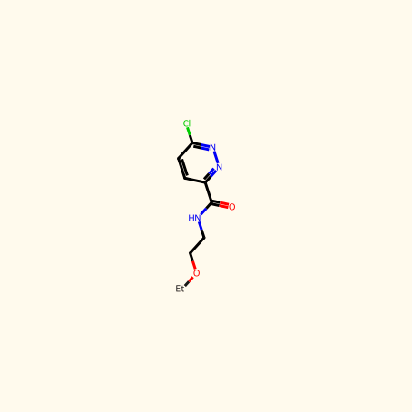 CCOCCNC(=O)c1ccc(Cl)nn1